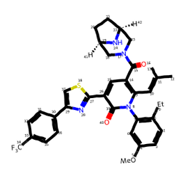 CCc1ccc(OC)cc1-n1c(C=C(C)C)c(C(=O)N2C[C@H]3CC[C@@H](C2)N3)cc(-c2nc(-c3ccc(C(F)(F)F)cc3)cs2)c1=O